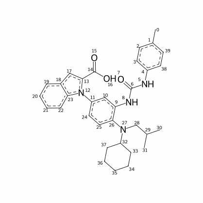 Cc1ccc(NC(=O)Nc2cc(-n3c(C(=O)O)cc4ccccc43)ccc2N(CC(C)C)C2CCCCC2)cc1